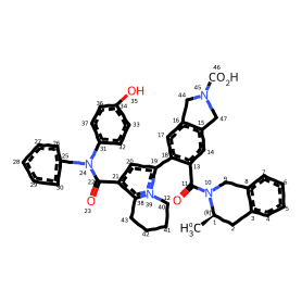 C[C@@H]1Cc2ccccc2CN1C(=O)c1cc2c(cc1-c1cc(C(=O)N(c3ccccc3)c3ccc(O)cc3)c3n1CCCC3)CN(C(=O)O)C2